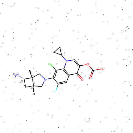 C[C@@]12CN(c3c(F)cc4c(=O)c(OC(=O)O)cn(C5CC5)c4c3Cl)C[C@@H]1C[C@@H]2N